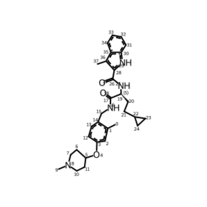 Cc1cc(OC2CCN(C)CC2)ccc1CNC(=O)[C@H](CCC1CC1)NC(=O)c1[nH]c2ccccc2c1C